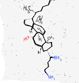 CC(C)CCC[C@@H](C)[C@H]1CC[C@H]2[C@@H]3[C@@H](O)C[C@H]4C[C@@H](C(N)CCCN)CC[C@]4(C)[C@H]3CC[C@]12C